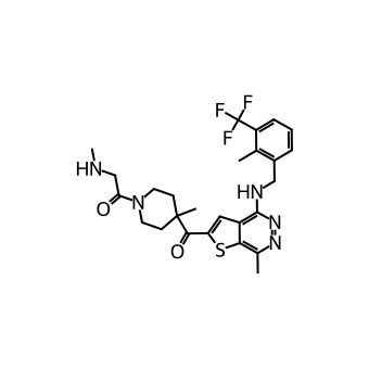 CNCC(=O)N1CCC(C)(C(=O)c2cc3c(NCc4cccc(C(F)(F)F)c4C)nnc(C)c3s2)CC1